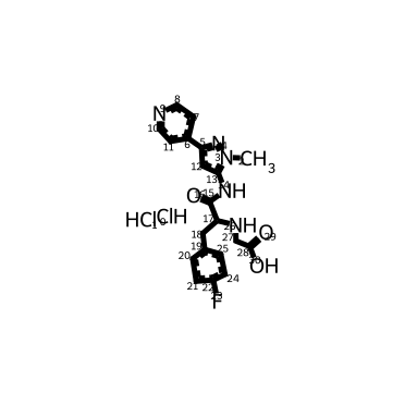 Cl.Cl.Cn1nc(-c2ccncc2)cc1NC(=O)C(Cc1ccc(F)cc1)NCC(=O)O